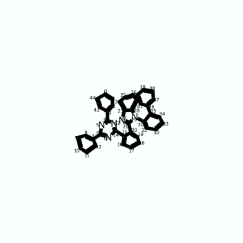 c1ccc(-c2nc(-c3ccccc3)nc(-c3ccccc3-c3nc4ccccc4n3-c3ccccc3-c3ccccc3)n2)cc1